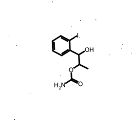 CC(OC(N)=O)C(O)c1ccccc1I